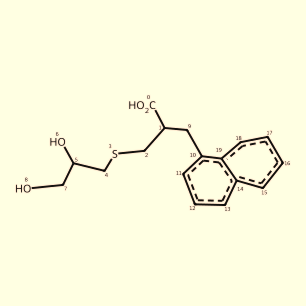 O=C(O)C(CSCC(O)CO)Cc1cccc2ccccc12